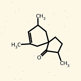 CC1=CC(C)CC2(CCC(C)C2=O)C1